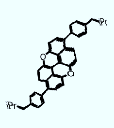 CC(C)Cc1ccc(-c2ccc3oc4ccc5c(-c6ccc(CC(C)C)cc6)ccc6oc7ccc2c3c7-c4c65)cc1